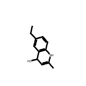 CCc1ccc2c(c1)C(O)C=C(C)N2